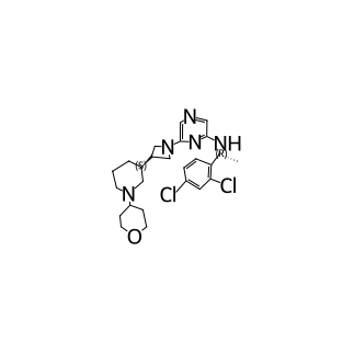 C[C@@H](Nc1cncc(N2CC([C@@H]3CCCN(C4CCOCC4)C3)C2)n1)c1ccc(Cl)cc1Cl